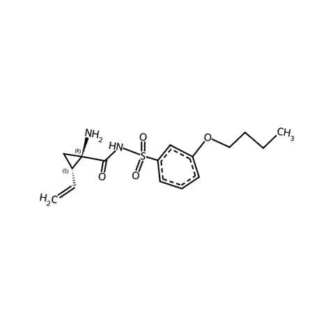 C=C[C@@H]1C[C@]1(N)C(=O)NS(=O)(=O)c1cccc(OCCCC)c1